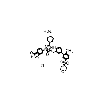 Cc1ccc(S(=O)(=O)N2CCOCC2)cc1-c1cccc(C[C@H](NC(=O)[C@H]2CC[C@H](CN)CC2)C(=O)Nc2ccc3c(=O)[nH][nH]c3c2)c1.Cl